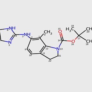 Cc1c(NC2=NCCN2)ccc2c1N(C(=O)OC(C)(C)C)CC2